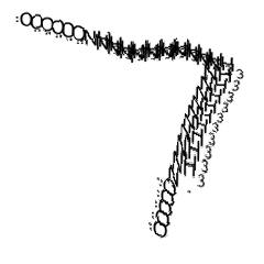 N.N.N.N.N.N.N.N.N.N.N.N.N.N.N.N.N.N.N.N.[N].[O].[O].[O].[O].[O].[O].[O].[O].[O].[O].[O]